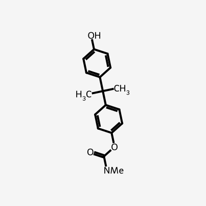 CNC(=O)Oc1ccc(C(C)(C)c2ccc(O)cc2)cc1